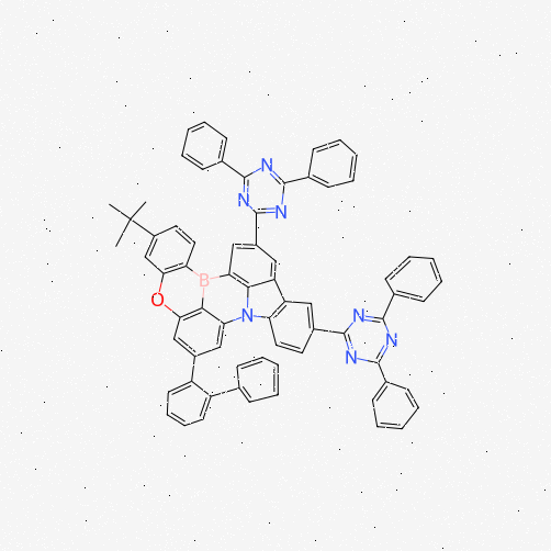 CC(C)(C)c1ccc2c(c1)Oc1cc(-c3ccccc3-c3ccccc3)cc3c1B2c1cc(-c2nc(-c4ccccc4)nc(-c4ccccc4)n2)cc2c4cc(-c5nc(-c6ccccc6)nc(-c6ccccc6)n5)ccc4n-3c12